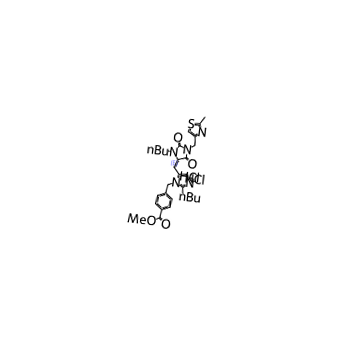 CCCCc1ncc(/C=C2\C(=O)N(Cc3csc(C)n3)C(=O)N2CCCC)n1Cc1ccc(C(=O)OC)cc1.Cl.Cl